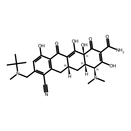 CN(C)[C@@H]1C(O)=C(C(N)=O)C(=O)[C@@]2(O)C(O)=C3C(=O)c4c(O)cc(CN(C)C(C)(C)C)c(C#N)c4C[C@H]3C[C@@H]12